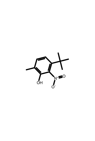 Cc1ccc(C(C)(C)C)c([N+](=O)[O-])c1O